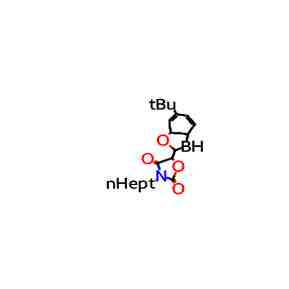 CCCCCCCN1C(=O)OC(C2BC3C=CC(C(C)(C)C)=CC3O2)C1=O